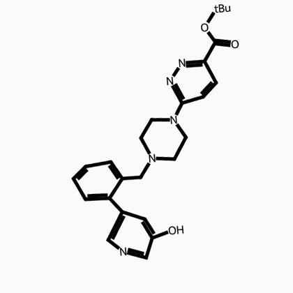 CC(C)(C)OC(=O)c1ccc(N2CCN(Cc3ccccc3-c3cncc(O)c3)CC2)nn1